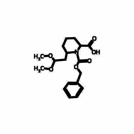 COC(CC1CCCC(C(=O)O)N1C(=O)OCc1ccccc1)OC